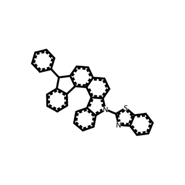 c1ccc(C2c3ccccc3-c3c2ccc2ccc4c(c5ccccc5n4-c4nc5ccccc5s4)c32)cc1